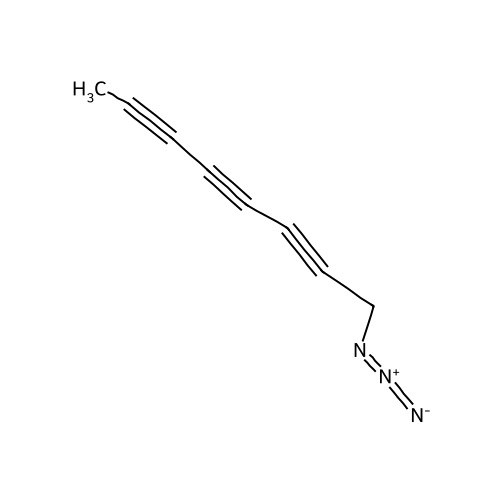 CC#CC#CC#CCN=[N+]=[N-]